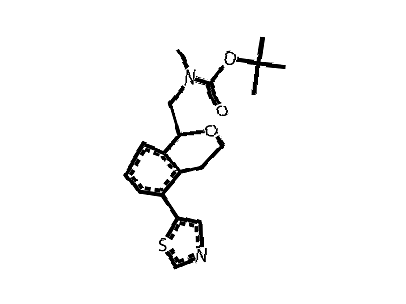 CN(CC1OCCc2c(-c3cncs3)cccc21)C(=O)OC(C)(C)C